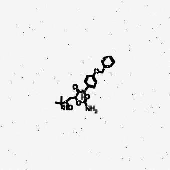 CC(C)(C)C(O)CC(OC(N)=O)C(=O)Nc1ccc(OCc2ccccc2)cc1